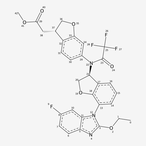 CCOc1nc2ccc(F)cc2n1-c1cccc2c1OC[C@H]2N(C(=O)C(F)(F)F)c1ccc2c(c1)OC[C@H]2CC(=O)OC